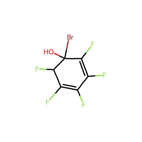 OC1(Br)C(F)=C(F)C(F)=C(F)C1F